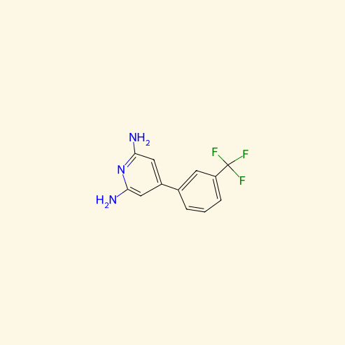 Nc1cc(-c2cccc(C(F)(F)F)c2)cc(N)n1